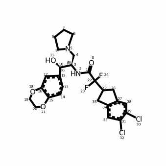 O=C(N[C@H](CN1CCCC1)[C@H](O)c1ccc2c(c1)OCCO2)C(F)(F)C1Cc2cc(Cl)c(Cl)cc2C1